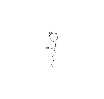 CCCCCC(O)OC1CCNCC1